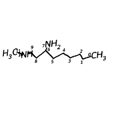 CCCCCCC(N)CCNC